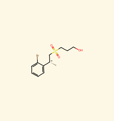 C[C@@H](CS(=O)(=O)CCCO)c1ccccc1Br